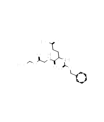 CCOC(=O)CNC(=O)C(CCC(=O)O)NC(=O)OCc1ccccc1